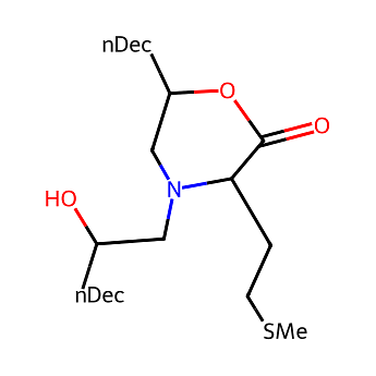 CCCCCCCCCCC(O)CN1CC(CCCCCCCCCC)OC(=O)C1CCSC